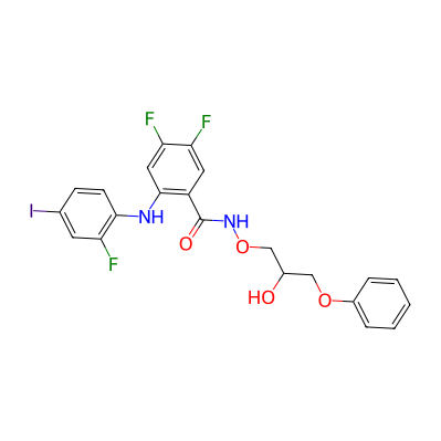 O=C(NOCC(O)COc1ccccc1)c1cc(F)c(F)cc1Nc1ccc(I)cc1F